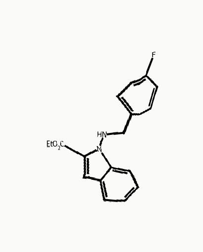 CCOC(=O)c1cc2ccccc2n1NCc1ccc(F)cc1